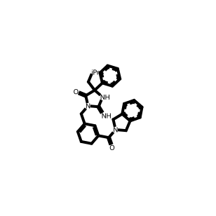 CC(C)CC1(c2ccccc2)NC(=N)N(CC2=CCCC(C(=O)N3Cc4ccccc4C3)=C2)C1=O